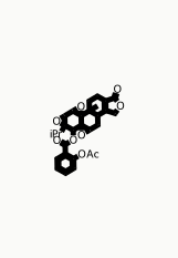 CC(=O)Oc1ccccc1C(=O)OC1C2(C(C)C)OC2C2OC23C2(C)CCC4=C(COC4=O)C2CC2OC213